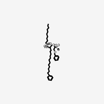 CCCCCCCCCCS(=O)(=O)NC(CO)CCCCCCCCCCCCc1ccccc1.O=P(=O)C(O)COCc1ccccc1